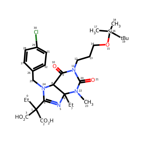 CCC(C(=O)O)(C(=O)O)C1=NC2(CC)C(C(=O)N(CCCO[Si](C)(C)C(C)(C)C)C(=O)N2C)N1Cc1ccc(Cl)cc1